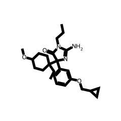 CCCN1C(=O)C(c2cccc(OCC3CC3)c2)(C2(CC)CCC(OC)CC2)N=C1N